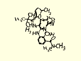 CC1CC=C([C@H](Nc2nc3nonc3nc2Nc2cccc(C(=O)N(C)C)c2O)C(C)(C)C)O1